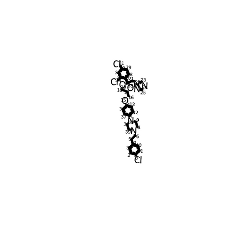 Clc1ccc(CCN2CCN(c3ccc(OCC4COC(Cn5cncn5)(c5ccc(Cl)cc5Cl)O4)cc3)CC2)cc1